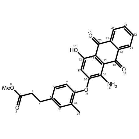 COC(=O)CCc1ccc(Oc2cc(O)c3c(c2N)C(=O)c2ccccc2C3=O)c(C)c1